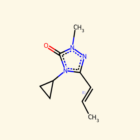 C/C=C/c1nn(C)c(=O)n1C1CC1